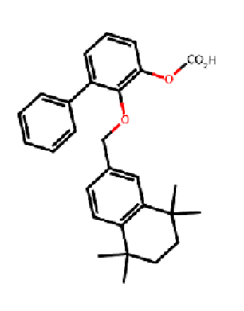 CC1(C)CCC(C)(C)c2cc(COc3c(OC(=O)O)cccc3-c3ccccc3)ccc21